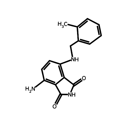 Cc1ccccc1CNc1ccc(N)c2c1C(=O)NC2=O